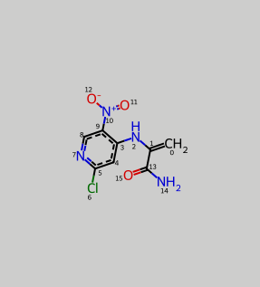 C=C(Nc1cc(Cl)ncc1[N+](=O)[O-])C(N)=O